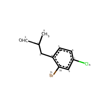 CC(C=O)Cc1ccc(Cl)cc1Br